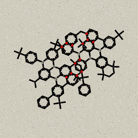 CC(C)c1cc2c3c(c1)N(c1cc(-c4ccccc4)c(C(C)(C)C)cc1-c1ccccc1)c1cc4c(cc1B3c1cc(C(C)(C)c3ccc(CC(C)c5cc6c7c(c5)N(c5ccc(C(C)(C)C)cc5-c5cccc(C(C)(C)C)c5)c5cc8c(cc5B7c5cc(C(C)(C)c7ccccc7)ccc5N6c5ccc(C(C)(C)C)cc5)C(C)(C)CCC8(C)C)cc3)ccc1N2c1ccc(C(C)(C)C)cc1)C(C)(C)CCC4(C)C